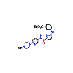 CCOC(=O)c1cccc(Nn2ccc(C(=O)Nc3ccc(N4CCN(C(C)=O)CC4)nc3)n2)c1